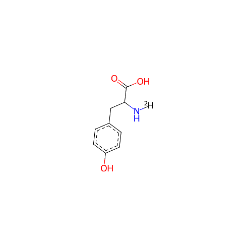 [2H]NC(Cc1ccc(O)cc1)C(=O)O